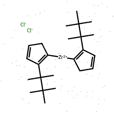 CC(C)(C)C(C)(C)C1=[C]([Zr+2][C]2=C(C(C)(C)C(C)(C)C)C=CC2)CC=C1.[Cl-].[Cl-]